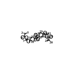 C=C(C)C(=O)OC(C)Oc1ccc(S(=O)(=O)c2ccc(OC(C)OC(=O)C(=C)C)cc2)cc1